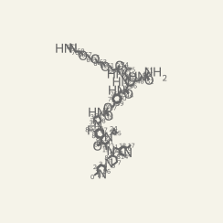 Cc1ccc(N2CCC[C@H](N(Cc3ccnc(C)c3)Cc3cn(C4CC4)c4cc(N5CC[C@@H](NC(=O)OCc6ccc(NC(=O)C(CCCNC(N)=O)NC(=O)[C@@H](NC(=O)CCOCCOCCOCCN=N)C(C)C)cc6)C5)c(F)cc4c3=O)C2)cn1